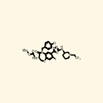 CC(C)(C)OC(=O)N[C@H]1CSc2cc(F)c(-c3nnc(NC4CCCN(CC(F)(F)F)C4)o3)cc2N(Cc2ccc(Cl)cc2)C1=O